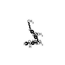 CCCCCCCOc1ccc(C(=O)Oc2ccc(CC(NC(=O)c3ccc(NC(=O)c4ccncc4)cc3)C(C)=O)cc2OC)cc1